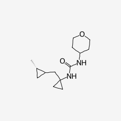 C[C@H]1CC1CC1(NC(=O)NC2CCOCC2)CC1